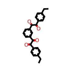 CCc1ccc(C(=O)C(=O)c2cccc(C(=O)C(=O)c3ccc(CC)cc3)c2)cc1